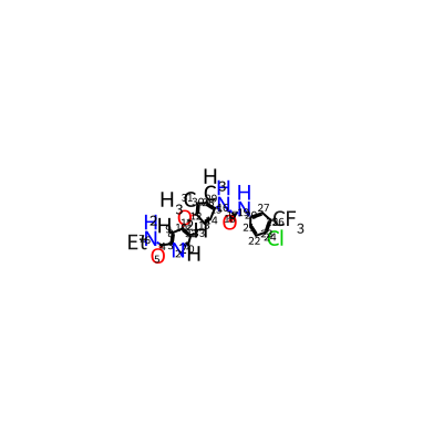 [2H]c1nc(C(=O)NCC)c([2H])c(Oc2ccc(NC(=O)Nc3ccc(Cl)c(C(F)(F)F)c3)c(C)c2C)c1[2H]